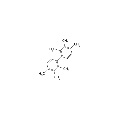 Cc1ccc(-c2ccc(C)c(C)c2C)c(C)c1C